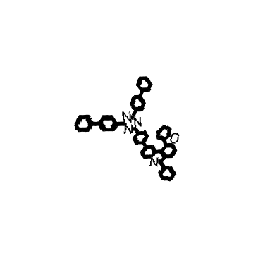 c1ccc(-c2ccc(-c3nc(-c4ccc(-c5ccccc5)cc4)nc(-c4ccc(-c5ccc6nc(-c7ccccc7)c7ccc8oc9ccccc9c8c7c6c5)cc4)n3)cc2)cc1